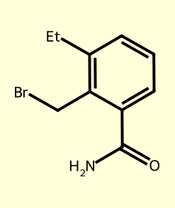 CCc1cccc(C(N)=O)c1CBr